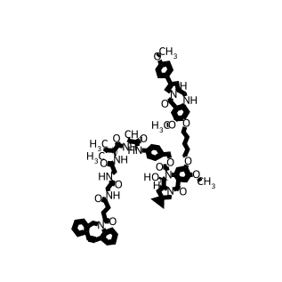 COc1ccc(C2=CN3C(=O)c4cc(OC)c(OCCCCCOc5cc6c(cc5OC)C(=O)N5CC7(CC7)C[C@H]5[C@@H](O)N6C(=O)OCc5ccc(NC(=O)[C@H](C)NC(=O)[C@@H](NC(=O)CNC(=O)CNC(=O)CCC(=O)N6Cc7ccccc7C#Cc7ccccc76)C(C)C)cc5)cc4NC[C@@H]3C2)cc1